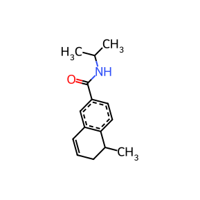 CC(C)NC(=O)c1ccc2c(c1)C=CCC2C